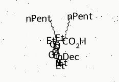 CCCCCC=CCC=CCCCCCCC(CC)(CCCC(CC)(CCCCCCC=CCC=CCCCCC)C(=O)OOCC(CCCCCCCCCCCC)OC(=O)OCCCN(CC)CC)C(=O)O